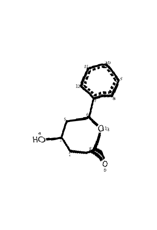 O=C1CC(O)CC(c2ccccc2)O1